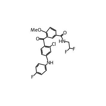 COc1ccc(C(=O)NCC(F)F)cc1C(=O)c1ccc(Nc2ccc(F)cc2)cc1Cl